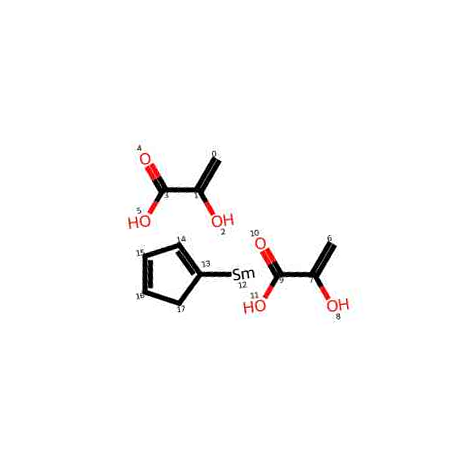 C=C(O)C(=O)O.C=C(O)C(=O)O.[Sm][C]1=CC=CC1